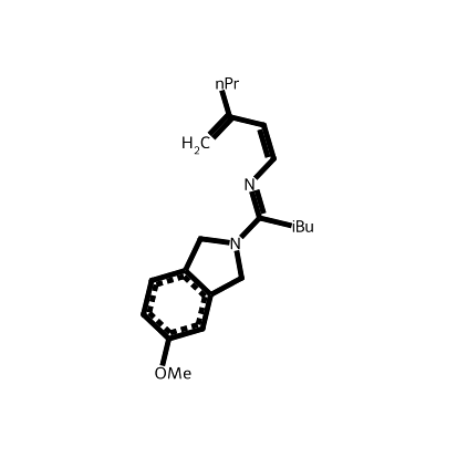 C=C(/C=C\N=C(/C(C)CC)N1Cc2ccc(OC)cc2C1)CCC